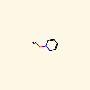 CON1[C]=CC=CC1